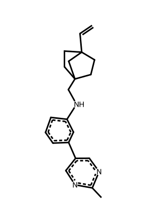 C=CC12CCC(CNc3cccc(-c4cnc(C)nc4)c3)(CC1)C2